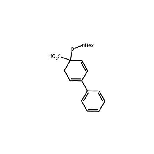 CCCCCCOC1(C(=O)O)C=CC(c2ccccc2)=CC1